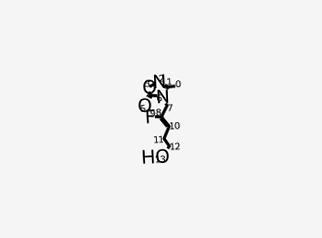 Cc1noc(=O)n1C/C(F)=C/CCO